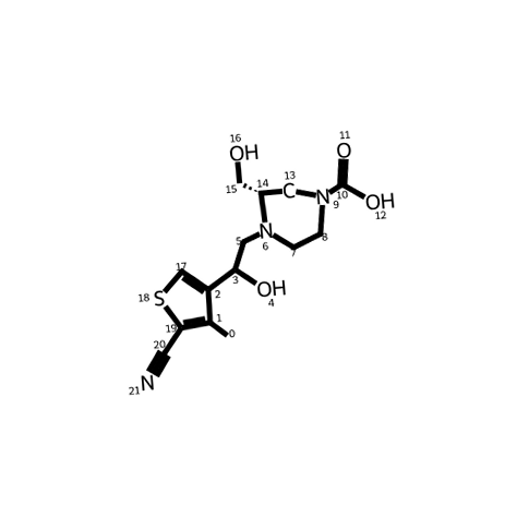 Cc1c(C(O)CN2CCN(C(=O)O)C[C@H]2CO)csc1C#N